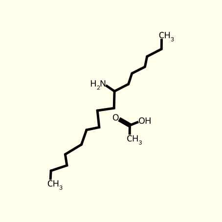 CC(=O)O.CCCCCCCCCC(N)CCCCCC